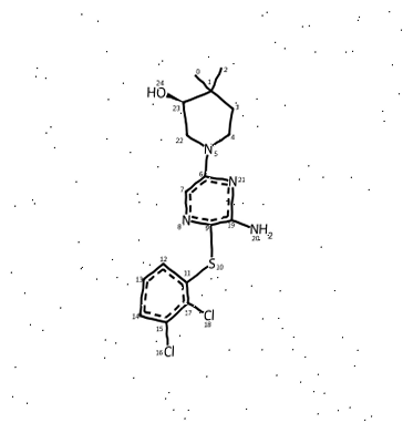 CC1(C)CCN(c2cnc(Sc3cccc(Cl)c3Cl)c(N)n2)C[C@H]1O